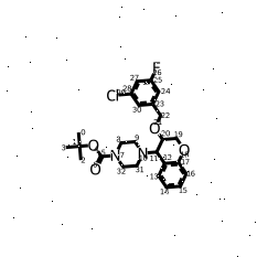 CC(C)(C)OC(=O)N1CCN(C2c3ccccc3OCC2OCc2cc(F)cc(Cl)c2)CC1